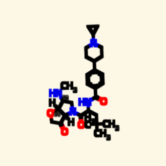 CN[C@H]1CN(C(=O)C(CC(C)(C)C)NC(=O)c2ccc(C3CCN(C4CC4)CC3)cc2)[C@@H]2C(=O)CO[C@H]12